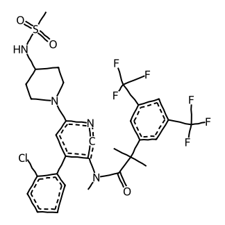 CN(C(=O)C(C)(C)c1cc(C(F)(F)F)cc(C(F)(F)F)c1)c1cnc(N2CCC(NS(C)(=O)=O)CC2)cc1-c1ccccc1Cl